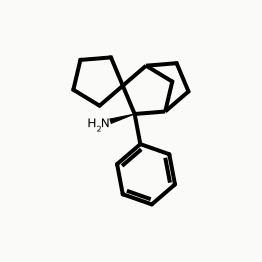 N[C@]1(c2ccccc2)C2CCC(C2)C12CCCC2